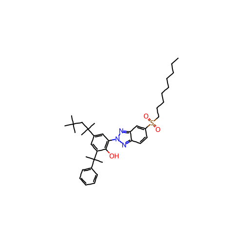 CCCCCCCCCS(=O)(=O)c1ccc2nn(-c3cc(C(C)(C)CC(C)(C)C)cc(C(C)(C)c4ccccc4)c3O)nc2c1